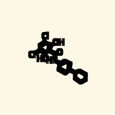 O=C(Nc1ccc(C2CCCCC2)cc1)c1c(O)c(Cl)cc(Cl)c1O